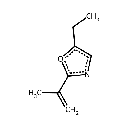 C=C(C)c1ncc(CC)o1